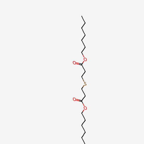 CCCCCCCOC(=O)CCSCCC(=O)OCCCCCCC